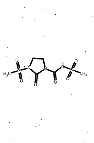 CS(=O)(=O)NC(=O)N1CCN(S(C)(=O)=O)C1=O